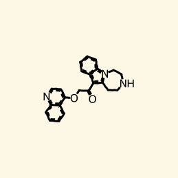 O=C(COc1ccnc2ccccc12)c1c2n(c3ccccc13)CCNCC2